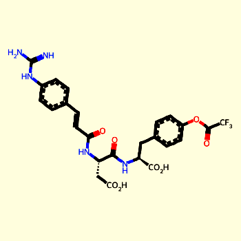 N=C(N)Nc1ccc(C=CC(=O)N[C@@H](CC(=O)O)C(=O)N[C@@H](Cc2ccc(OC(=O)C(F)(F)F)cc2)C(=O)O)cc1